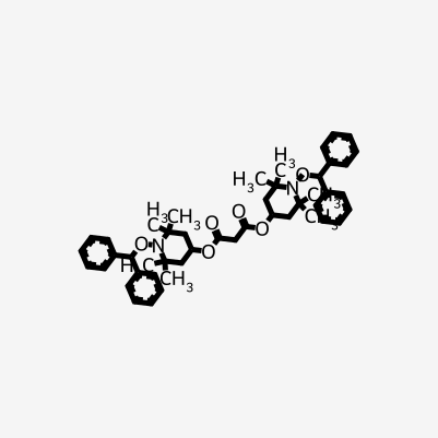 CC1(C)CC(OC(=O)CC(=O)OC2CC(C)(C)N(OC(c3ccccc3)c3ccccc3)C(C)(C)C2)CC(C)(C)N1OC(c1ccccc1)c1ccccc1